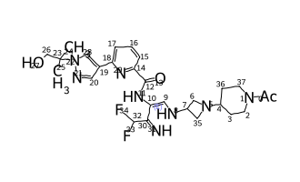 CC(=O)N1CCC(N2CC(N/C=C(/NC(=O)c3cccc(-c4cnn(C(C)(C)CO)c4)n3)C(=N)C(F)F)C2)CC1